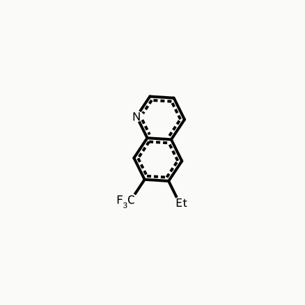 CCc1cc2cccnc2cc1C(F)(F)F